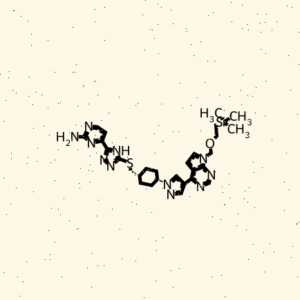 C[Si](C)(C)CCOCn1ccc2c(-c3cnn([C@H]4CC[C@@H](CSc5nnc(-c6ccnc(N)n6)[nH]5)CC4)c3)ncnc21